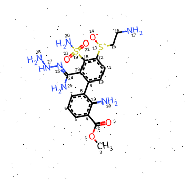 COC(=O)c1cccc(-c2ccc([S+]([O-])CCN)c(S(N)(=O)=O)c2/C(N)=N/NN)c1N